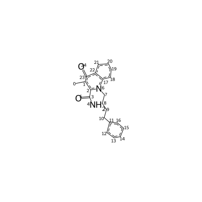 Cc1c(C(N)=O)n(CCCCc2ccccc2)c2ccccc2c1=O